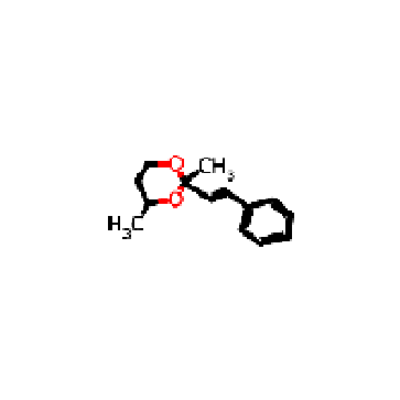 CC1CCOC(C)(/C=C/c2ccccc2)O1